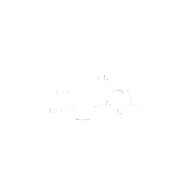 Cc1cc(N)n(C2CCS(O)(O)C2)n1